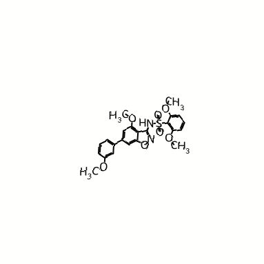 COc1cccc(-c2cc(OC)c3c(NS(=O)(=O)c4c(OC)cccc4OC)noc3c2)c1